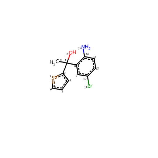 CC(O)(c1cccs1)c1cc(Br)ccc1N